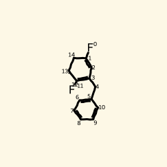 FC1=CC(Cc2ccccc2)=C(F)[CH]C1